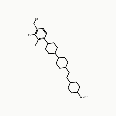 CCCCCC1CCC(CCC2CCC(C3CCC(c4ccc(OCC)c(F)c4F)CC3)CC2)CC1